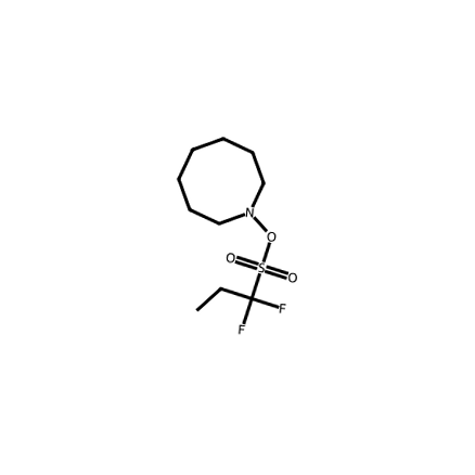 CCC(F)(F)S(=O)(=O)ON1CCCCCCC1